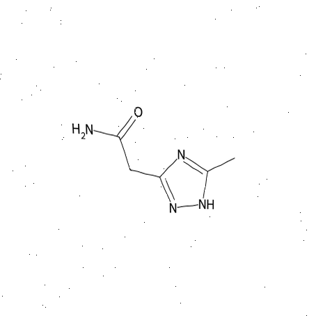 Cc1nc(CC(N)=O)n[nH]1